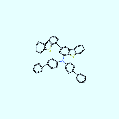 c1ccc(-c2ccc(N(c3ccc(-c4ccccc4)cc3)c3cc(-c4cccc5c4sc4ccccc45)cc4c3sc3ccccc34)cc2)cc1